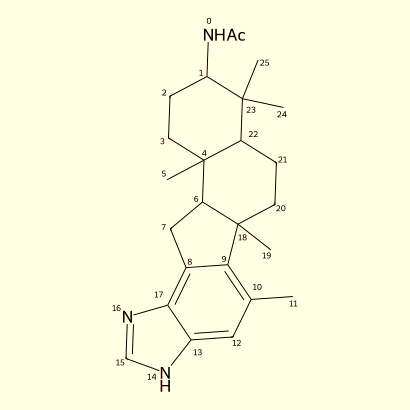 CC(=O)NC1CCC2(C)C3Cc4c(c(C)cc5[nH]cnc45)C3(C)CCC2C1(C)C